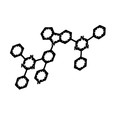 c1ccc(-c2nc(-c3ccccc3)nc(-c3ccc4c5ccccc5n(-c5ccc(-c6ccncc6)c(-c6nc(-c7ccccc7)nc(-c7ccccc7)n6)c5)c4c3)n2)cc1